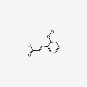 CCOc1ccccc1C=CC(=O)Cl